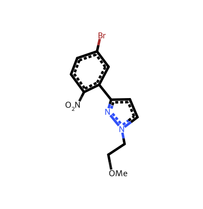 COCCn1ccc(-c2cc(Br)ccc2[N+](=O)[O-])n1